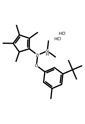 CC1=C(C)C(C)[C]([Zr]([O]c2cc(C)cc(C(C)(C)C)c2)[SiH](C)C)=C1C.Cl.Cl